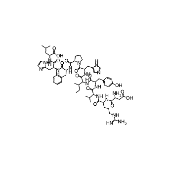 CCC(C)C(NC(=O)C(Cc1ccc(O)cc1)NC(=O)C(NC(=O)C(CCCNC(=N)N)NC(=O)C(N)CC(=O)O)C(C)C)C(=O)NC(Cc1cnc[nH]1)C(=O)N1CCCC1C(=O)NC(Cc1ccccc1)C(=O)NC(Cc1ncc[nH]1)C(=O)NC(CC(C)C)C(=O)O